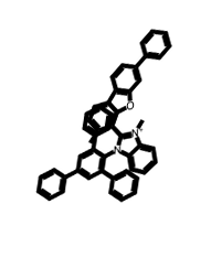 Cc1ccc2c(oc3cc(-c4ccccc4)ccc32)c1-c1n(-c2c(-c3ccccc3)cc(-c3ccccc3)cc2-c2ccccc2)c2ccccc2[n+]1C